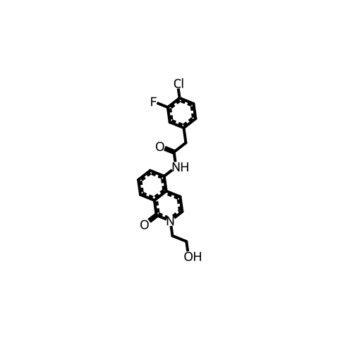 O=C(Cc1ccc(Cl)c(F)c1)Nc1cccc2c(=O)n(CCO)ccc12